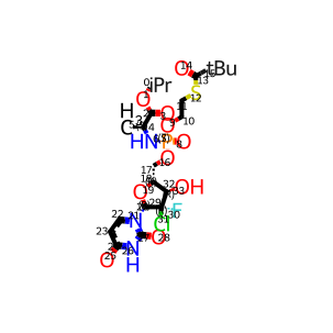 CC(C)OC(=O)[C@H](C)N[P@@](=O)(OCCSC(=O)C(C)(C)C)OC[C@H]1O[C@@H](n2ccc(=O)[nH]c2=O)[C@](F)(Cl)[C@@H]1O